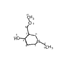 CCN1CCC(O)C(COC)C1